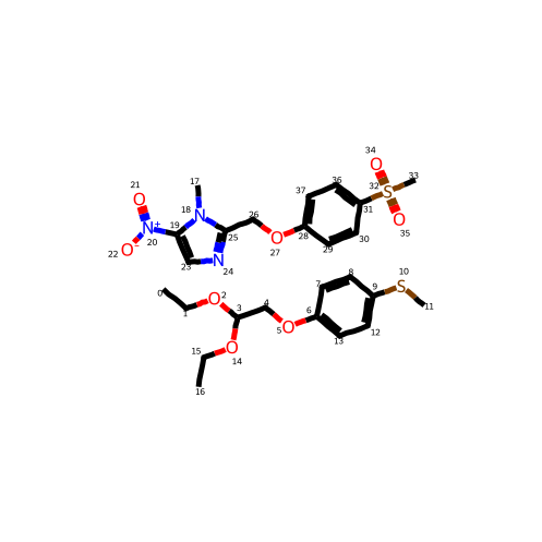 CCOC(COc1ccc(SC)cc1)OCC.Cn1c([N+](=O)[O-])cnc1COc1ccc(S(C)(=O)=O)cc1